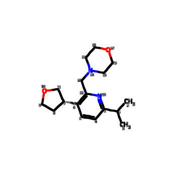 CC(C)c1ccc([C@@H]2CCOC2)c(CN2CCOCC2)n1